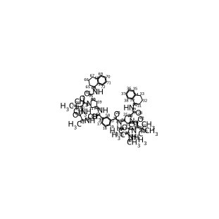 CN[C@@H](C)C(=O)N[C@H](C(=O)N1C[C@@H](NC(=O)c2cccc(C(=O)N[C@H]3C[C@@H](C(=O)N[C@@H]4CCCc5ccccc54)N(C(=O)[C@@H](NC(C)(OC)[C@H](C)NC)C(C)(C)C)C3)c2)C[C@H]1C(=O)N[C@@H]1CCCc2ccccc21)C(C)(C)C